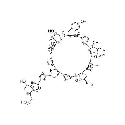 Cc1sc2nc1C(=O)N[C@@H]([C@H](O)c1ccccc1)c1nc(cs1)C(=O)N[C@@H](Cc1ccc(O)cc1)C(=O)N1C[C@H](O)[C@H](C)[C@H]1c1nc(cs1)-c1nc(cs1)-c1nc(-c3nc(C(=O)N[C@@H](C(=O)NCC(=O)O)C(C)O)cs3)ccc1-c1nc(cs1)C(=O)N[C@H]2CC(N)=O